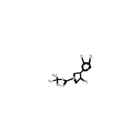 CC(C)(C)OC(=O)N1CC(N)C(c2ccc(Cl)c(Cl)c2)C1